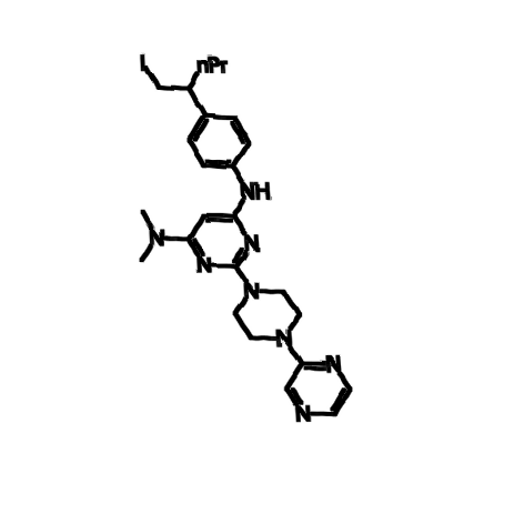 CCCC(CI)c1ccc(Nc2cc(N(C)C)nc(N3CCN(c4cnccn4)CC3)n2)cc1